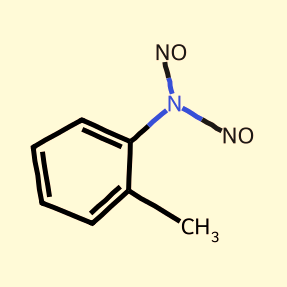 Cc1ccccc1N(N=O)N=O